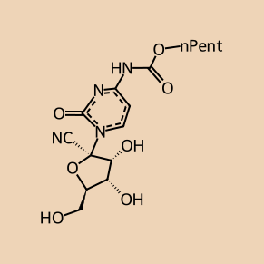 CCCCCOC(=O)Nc1ccn([C@]2(C#N)O[C@H](CO)[C@@H](O)[C@H]2O)c(=O)n1